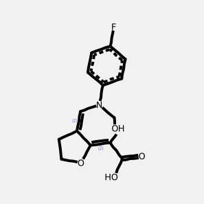 C/C(C(=O)O)=C1/OCC/C1=C/N(CO)c1ccc(F)cc1